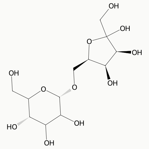 OCC1O[C@H](OC[C@H]2OC(O)(CO)[C@@H](O)[C@H]2O)C(O)C(O)[C@@H]1O